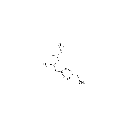 COC(=O)C[C@H](C)Sc1ccc(OC)cc1